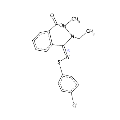 CCN(CC)/C(=N/Sc1ccc(Cl)cc1)c1ccccc1C(=O)O